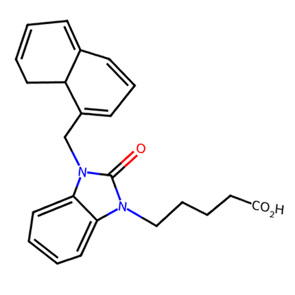 O=C(O)CCCCn1c(=O)n(CC2=CC=CC3=CC=CCC32)c2ccccc21